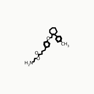 Cc1ccc(C2=C(COc3ccc(CCCC(=O)OCCN)cc3)CCCCC2)cc1